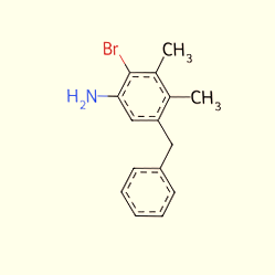 Cc1c(Cc2ccccc2)cc(N)c(Br)c1C